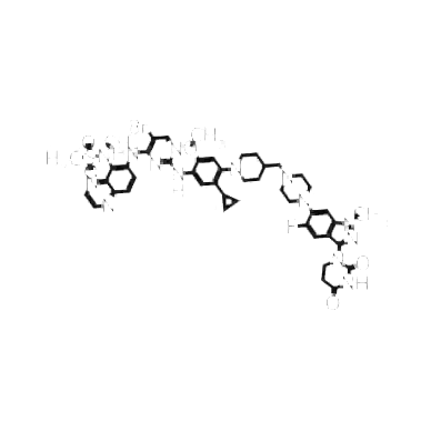 COc1cc(N2CCC(CN3CCN(c4cc5c(cc4F)c(N4CCC(=O)NC4=O)nn5C)CC3)CC2)c(C2CC2)cc1Nc1ncc(Br)c(Nc2ccc3nccnc3c2N(C)S(C)(=O)=O)n1